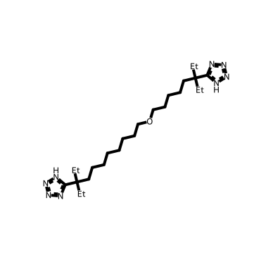 CCC(CC)(CCCCCCCCOCCCCCC(CC)(CC)c1nnn[nH]1)c1nnn[nH]1